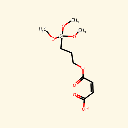 CO[Si](CCCOC(=O)/C=C\C(=O)O)(OC)OC